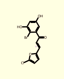 O=C(/C=C/c1ccc(Cl)o1)c1cc(O)cc(O)c1Br